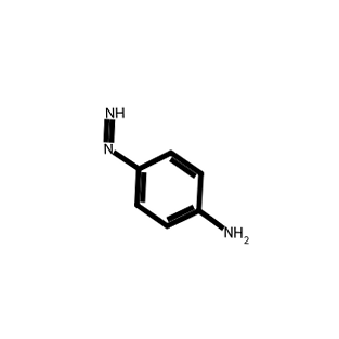 N=Nc1ccc(N)cc1